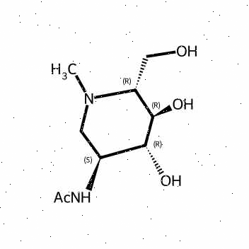 CC(=O)N[C@H]1CN(C)[C@H](CO)[C@@H](O)[C@@H]1O